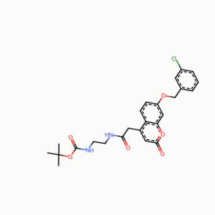 CC(C)(C)OC(=O)NCCNC(=O)Cc1cc(=O)oc2cc(OCc3cccc(Cl)c3)ccc12